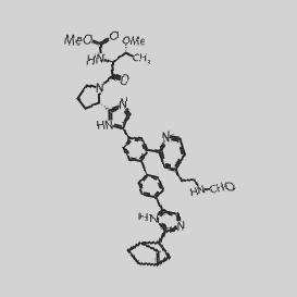 COC(=O)N[C@H](C(=O)N1CCC[C@H]1c1ncc(-c2ccc(-c3ccc(-c4cnc(C5CC6CCC5C6)[nH]4)cc3)c(-c3cc(CCNC=O)ccn3)c2)[nH]1)[C@@H](C)OC